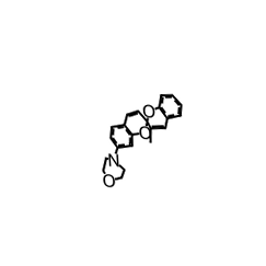 CC1=Cc2ccccc2OC12C=Cc1ccc(N3CCOCC3)cc1O2